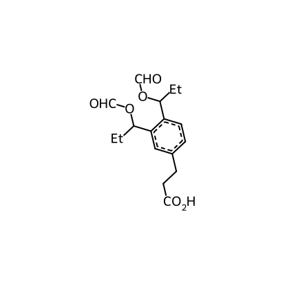 CCC(OC=O)c1ccc(CCC(=O)O)cc1C(CC)OC=O